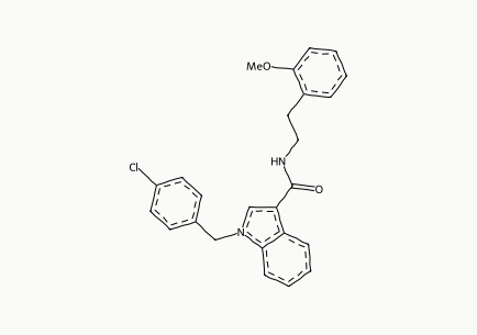 COc1ccccc1CCNC(=O)c1cn(Cc2ccc(Cl)cc2)c2ccccc12